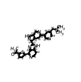 CC(=O)c1ccc(-c2nccc3[nH]c(-c4n[nH]c5cnc(-c6cncc(CN(C)C)c6)cc45)nc23)s1